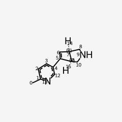 Cc1ccc(C2=C[C@H]3CNC[C@@H]23)cn1